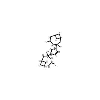 CC1CC2CC(C2)CC(C)(N2C=CN(C3(C)CC(C)CC4CC(C4)C3)C2)C1